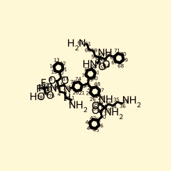 NCCCC[C@@](N)(C(=O)Cc1ccccc1)C(=O)Nc1ccc(C(c2ccc(NC(=O)[C@@](N)(CCCCN)C(=O)Cc3ccccc3)cc2)c2ccc(NC(=O)[C@@](N)(CCCCN)C(=O)Cc3ccccc3)cc2)cc1.O=C(O)C(F)(F)F